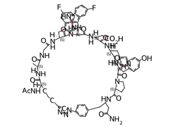 CC(=O)N[C@H]1CCCc2cn(nn2)-c2ccc(cc2)CC(CC(N)=O)NC(=O)[C@]2(C)CCCN2C(=O)[C@H](Cc2ccc(O)cc2)NC(=O)[C@H](Cc2cnc[nH]2)NC(=O)[C@H](CC(=O)O)NC(=O)[C@H](Cc2c[nH]c3ccc(F)cc23)NC(=O)[C@H](Cc2c[nH]c3ccc(F)cc23)NC(=O)CNC(=O)[C@H](C)NC1=O